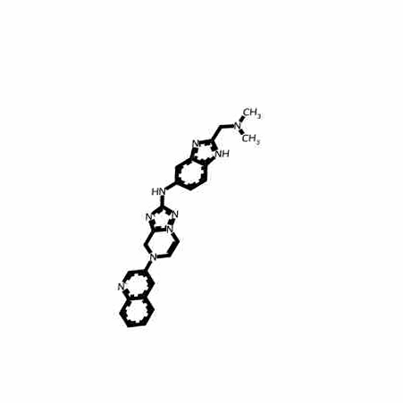 CN(C)Cc1nc2cc(Nc3nc4n(n3)C=CN(c3cnc5ccccc5c3)C4)ccc2[nH]1